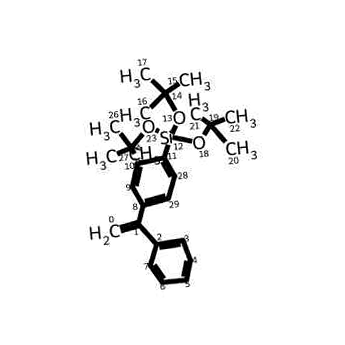 C=C(c1ccccc1)c1ccc([Si](OC(C)(C)C)(OC(C)(C)C)OC(C)(C)C)cc1